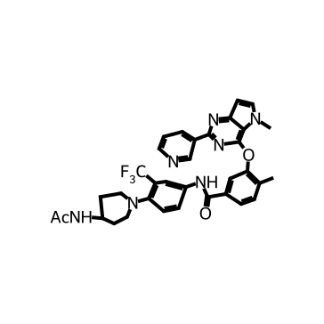 CC(=O)NC1CCN(c2ccc(NC(=O)c3ccc(C)c(Oc4nc(-c5cccnc5)nc5ccn(C)c45)c3)cc2C(F)(F)F)CC1